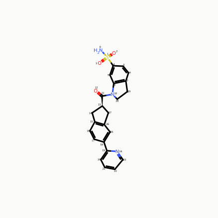 NS(=O)(=O)c1ccc2c(c1)N(C(=O)[C@@H]1Cc3ccc(-c4ccccn4)cc3C1)CC2